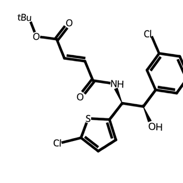 CC(C)(C)OC(=O)C=CC(=O)N[C@H](c1ccc(Cl)s1)[C@H](O)c1cccc(Cl)c1